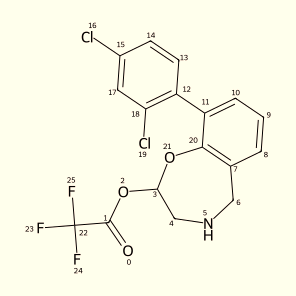 O=C(OC1CNCc2cccc(-c3ccc(Cl)cc3Cl)c2O1)C(F)(F)F